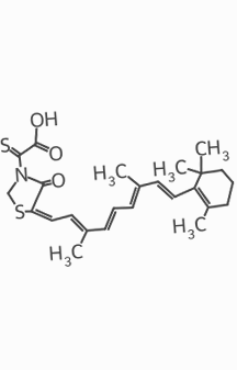 CC(C=CC1=C(C)CCCC1(C)C)=CC=CC(C)=CC=C1SCN(C(=S)C(=O)O)C1=O